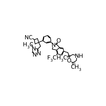 C[C@H]1CNC[C@@](C)(Cc2cc3c(c(C(F)(F)F)c2)CN(c2cccc(C4(Cc5nncn5C)CC(C#N)C4)c2)C3=O)O1